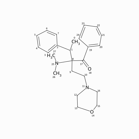 CC(c1ccccc1)C(CCN1CCOCC1)(C(=O)c1ccccc1)N(C)C